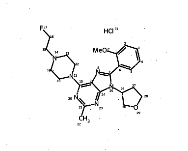 COc1ccccc1-c1nc2c(N3CCN(CCF)CC3)nc(C)nc2n1C1CCOC1.Cl